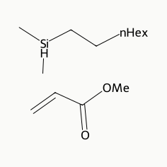 C=CC(=O)OC.CCCCCCCC[SiH](C)C